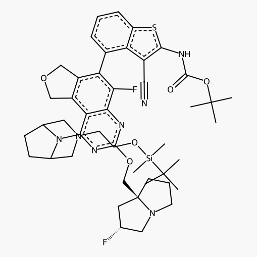 CC(C)(C)OC(=O)Nc1sc2cccc(-c3c4c(c5c(N6C7CCC6CN(CCO[Si](C)(C)C(C)(C)C)C7)nc(OC[C@@]67CCCN6C[C@H](F)C7)nc5c3F)COC4)c2c1C#N